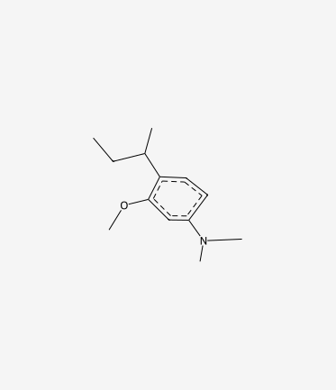 CCC(C)c1ccc(N(C)C)cc1OC